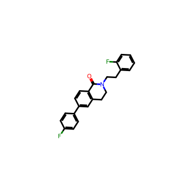 O=C1c2ccc(-c3ccc(F)cc3)cc2CCN1CCc1ccccc1F